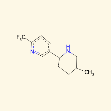 CC1CCC(c2ccc(C(F)(F)F)nc2)NC1